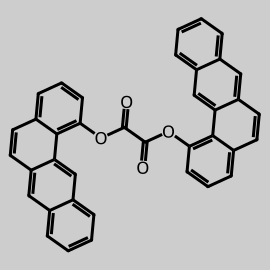 O=C(Oc1cccc2ccc3cc4ccccc4cc3c12)C(=O)Oc1cccc2ccc3cc4ccccc4cc3c12